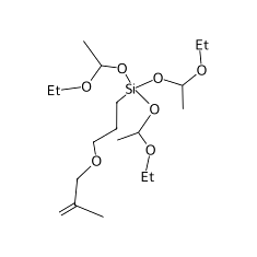 C=C(C)COCCC[Si](OC(C)OCC)(OC(C)OCC)OC(C)OCC